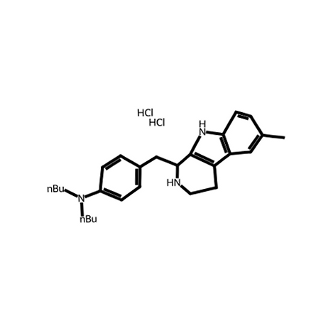 CCCCN(CCCC)c1ccc(CC2NCCc3c2[nH]c2ccc(C)cc32)cc1.Cl.Cl